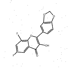 O=c1c(O)c(-c2ccc3c(c2)OCO3)oc2c(F)cc(F)cc12